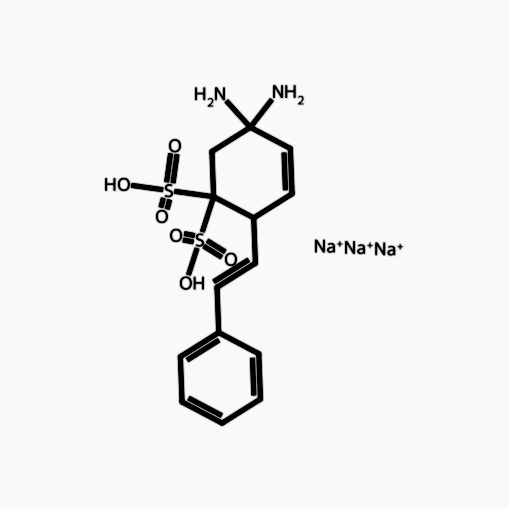 NC1(N)C=CC(C=Cc2ccccc2)C(S(=O)(=O)O)(S(=O)(=O)O)C1.[Na+].[Na+].[Na+]